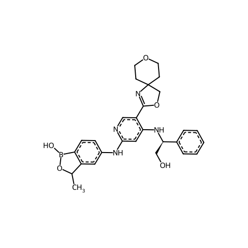 CC1OB(O)c2ccc(Nc3cc(N[C@H](CO)c4ccccc4)c(C4=NC5(CCOCC5)CO4)cn3)cc21